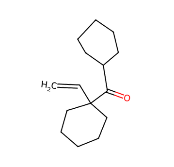 C=CC1(C(=O)C2CCCCC2)CCCCC1